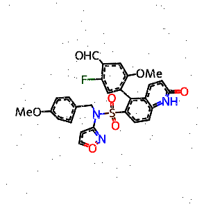 COc1ccc(CN(c2ccon2)S(=O)(=O)c2ccc3[nH]c(=O)ccc3c2-c2cc(F)c(C=O)cc2OC)cc1